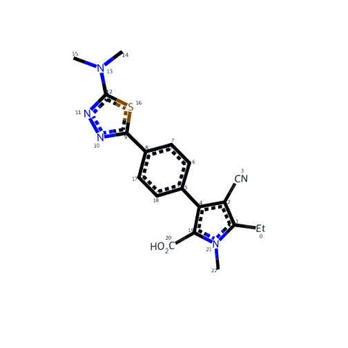 CCc1c(C#N)c(-c2ccc(-c3nnc(N(C)C)s3)cc2)c(C(=O)O)n1C